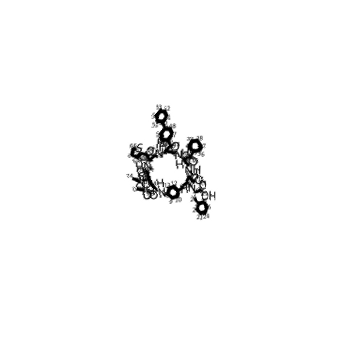 CC(=O)O[C@H]1C(=O)Nc2ccc(cc2)C[C@@H](C(=O)N[C@@H](Cc2ccccc2)C(=O)O)NC(=O)[C@H](Cc2ccccc2)NC(=O)[C@@H](Cc2ccc(-c3ccccc3)cc2)NC(=O)[C@H](Cc2cccs2)NC(=O)[C@@H]1OC(C)=O